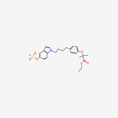 CCOC(=O)C(C)(C)Oc1ccc(CCCCn2ccc3cc(OS(C)(=O)=O)ccc32)cc1